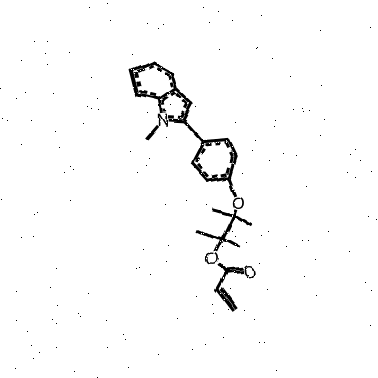 C=CC(=O)OC(C)(C)C(C)(C)Oc1ccc(-c2cc3ccccc3n2C)cc1